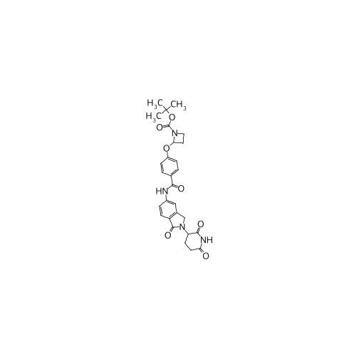 CC(C)(C)OC(=O)N1CCC1Oc1ccc(C(=O)Nc2ccc3c(c2)CN(C2CCC(=O)NC2=O)C3=O)cc1